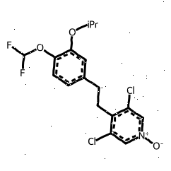 CC(C)Oc1cc([CH]Cc2c(Cl)c[n+]([O-])cc2Cl)ccc1OC(F)F